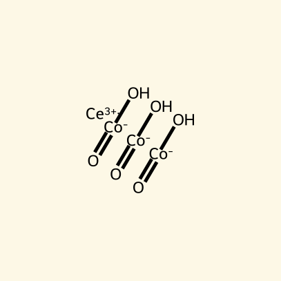 [Ce+3].[O]=[Co-][OH].[O]=[Co-][OH].[O]=[Co-][OH]